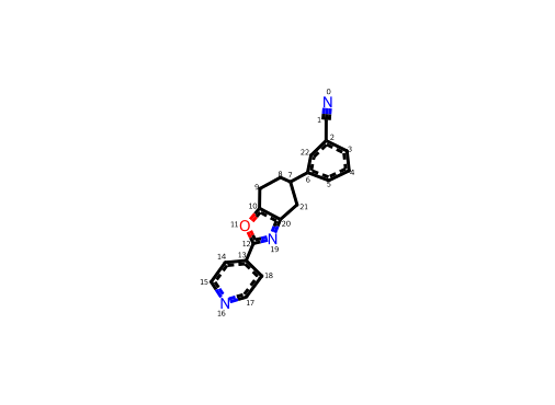 N#Cc1cccc(C2CCc3oc(-c4ccncc4)nc3C2)c1